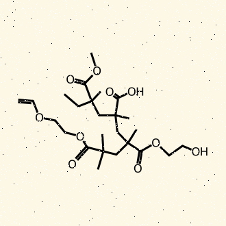 C=COCCOC(=O)C(C)(C)CC(C)(CC(C)(CC(C)(CC)C(=O)OC)C(=O)O)C(=O)OCCO